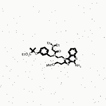 CCOC(=O)C(C)(C)Oc1cccc(CN(CCn2c(CCOC)nc3c(N)nc4ccccc4c32)C(=O)CN(CC)CC)c1